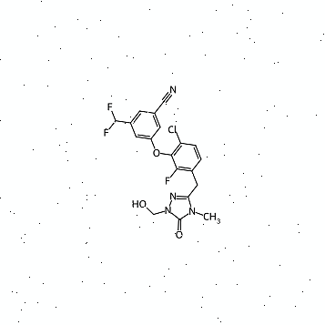 Cn1c(Cc2ccc(Cl)c(Oc3cc(C#N)cc(C(F)F)c3)c2F)nn(CO)c1=O